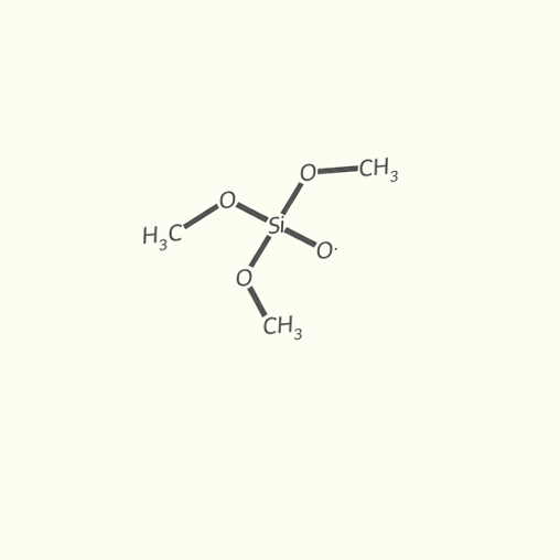 CO[Si]([O])(OC)OC